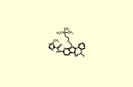 Cn1ncnc1C(=O)Nc1ccc2c(Br)c(-c3ccccc3C(F)F)n(COCC[Si](C)(C)C)c2n1